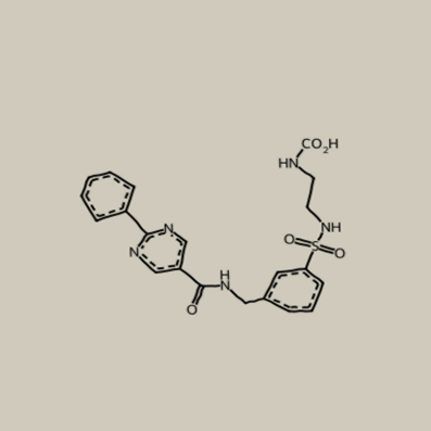 O=C(O)NCCNS(=O)(=O)c1cccc(CNC(=O)c2cnc(-c3ccccc3)nc2)c1